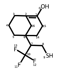 OC1=C2CCCC(C(CS)C(F)(F)F)(CC1)C2